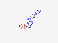 O=S(=O)(c1cccs1)n1ccc2cnc(Nc3ccc(N4CCNCC4)cc3)nc21